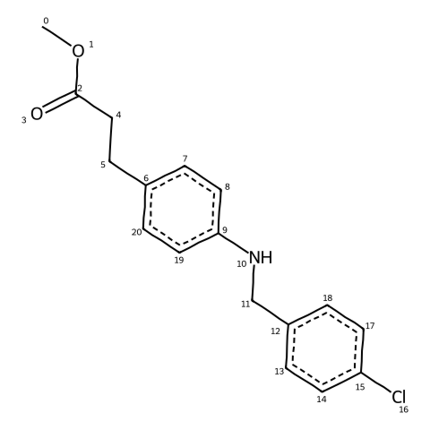 COC(=O)CCc1ccc(NCc2ccc(Cl)cc2)cc1